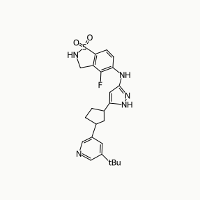 CC(C)(C)c1cncc(C2CCC(c3cc(Nc4ccc5c(c4F)CNS5(=O)=O)n[nH]3)C2)c1